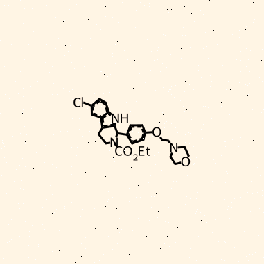 CCOC(=O)N1CCc2c([nH]c3ccc(Cl)cc23)C1c1ccc(OCCN2CCOCC2)cc1